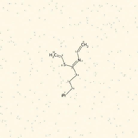 C=C/N=C(/CCCC(C)C)SC=C